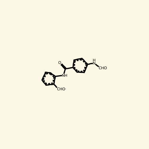 O=[C]c1ccccc1NC(=O)c1ccc(NC=O)cc1